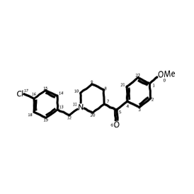 COc1ccc(C(=O)C2CCCN(Cc3ccc(Cl)cc3)C2)cc1